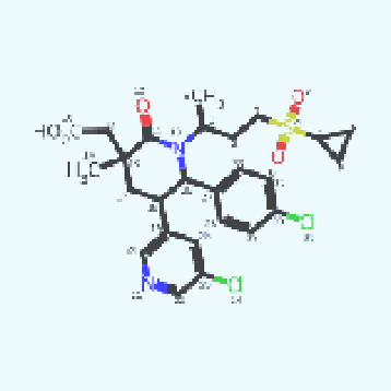 CC(CCS(=O)(=O)C1CC1)N1C(=O)C(C)(CC(=O)O)CC(c2cncc(Cl)c2)C1c1ccc(Cl)cc1